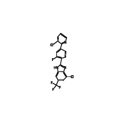 Fc1cc(-c2ncccc2Cl)ccc1-c1nc2c(Cl)cc(C(F)(F)F)cc2[nH]1